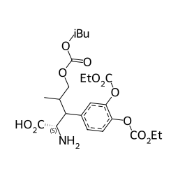 CCOC(=O)Oc1ccc(C(C(C)COC(=O)OC(C)CC)[C@H](N)C(=O)O)cc1OC(=O)OCC